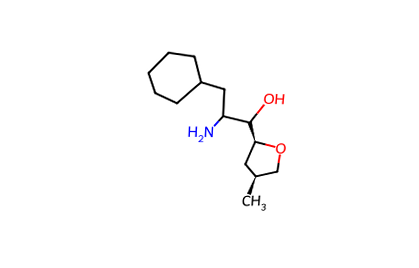 C[C@@H]1CO[C@H](C(O)C(N)CC2CCCCC2)C1